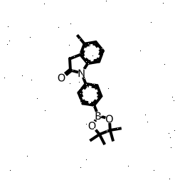 Cc1cccc2c1CC(=O)N2c1ccc(B2OC(C)(C)C(C)(C)O2)cc1